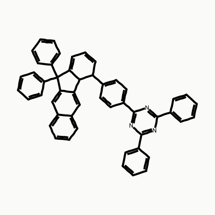 C1=CC(c2ccc(-c3nc(-c4ccccc4)nc(-c4ccccc4)n3)cc2)C2C(=C1)C(c1ccccc1)(c1ccccc1)c1cc3ccccc3cc12